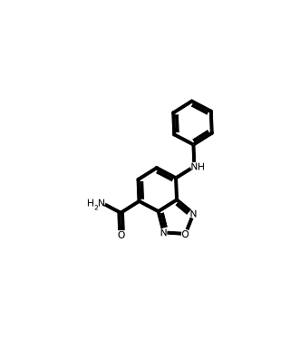 NC(=O)c1ccc(Nc2ccccc2)c2nonc12